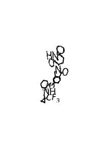 O=C1CCC(N2Cc3cc(O[C@@H]4CCCC[C@@H]4NCC4(C(F)(F)F)CC4)ccc3C2=O)C(=O)N1